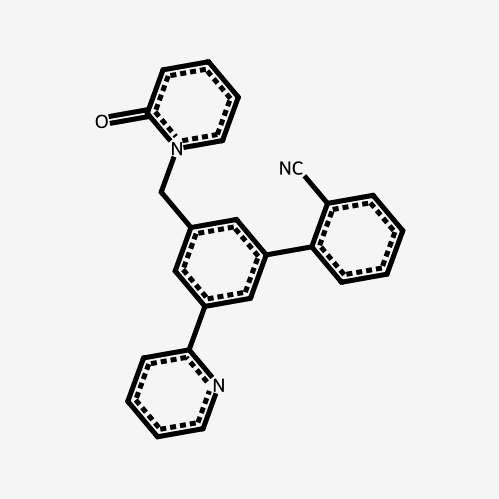 N#Cc1ccccc1-c1cc(Cn2ccccc2=O)cc(-c2ccccn2)c1